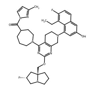 CCc1c(F)ccc2cc(O)cc(N3CCc4c(nc(OC[C@@]56CCCN5C[C@H](F)C6)nc4N4CCCC(C(=O)n5ccc(C)n5)CC4)C3)c12